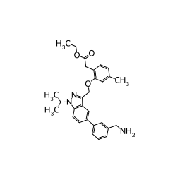 CCOC(=O)Cc1ccc(C)cc1OCc1nn(C(C)C)c2ccc(-c3cccc(CN)c3)cc12